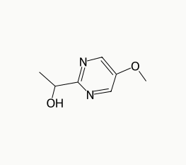 COc1cnc(C(C)O)nc1